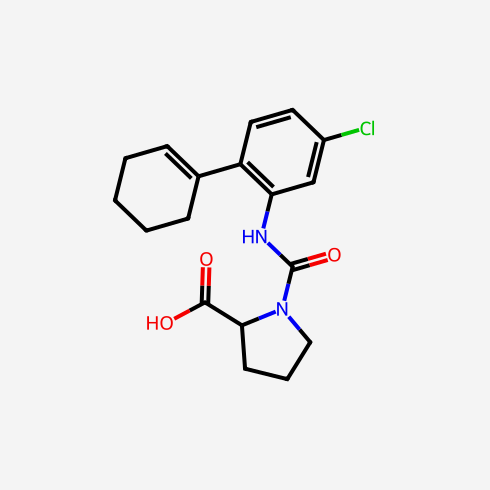 O=C(O)C1CCCN1C(=O)Nc1cc(Cl)ccc1C1=CCCCC1